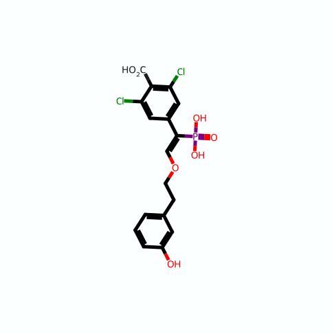 O=C(O)c1c(Cl)cc(C(=COCCc2cccc(O)c2)P(=O)(O)O)cc1Cl